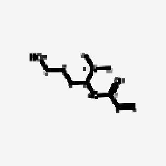 C=CC(=O)OC(CCCO)N(C)C